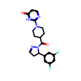 O=C(C1CCN(c2nccc(=O)[nH]2)CC1)N1N=CCC1c1cc(F)cc(F)c1